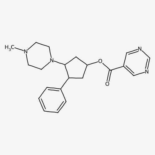 CN1CCN(C2CC(OC(=O)c3cncnc3)CC2c2ccccc2)CC1